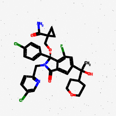 CC(O)(c1cc(F)c2c(c1)C(=O)N(Cc1ccc(Cl)cn1)[C@@]2(OCC1(C(N)=O)CC1)c1ccc(Cl)cc1)C1CCOCC1